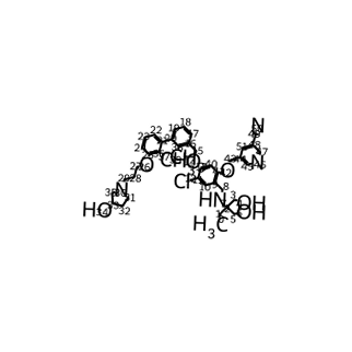 CCC(CO)(CO)NCc1cc(Cl)c(OCc2cccc(-c3cccc(OCCCN4CCC(O)C4)c3C)c2C)cc1OCc1cncc(C#N)c1